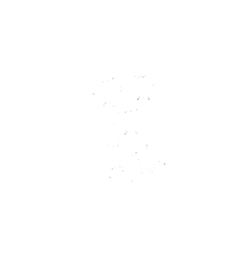 Clc1ccc(-c2ccc3c4ccccc4c4ccccc4c3c2)c2c1oc1ccccc12